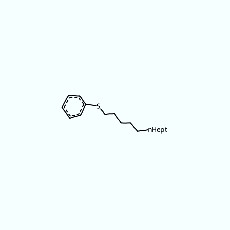 CCCCCCCCCCCCSc1ccccc1